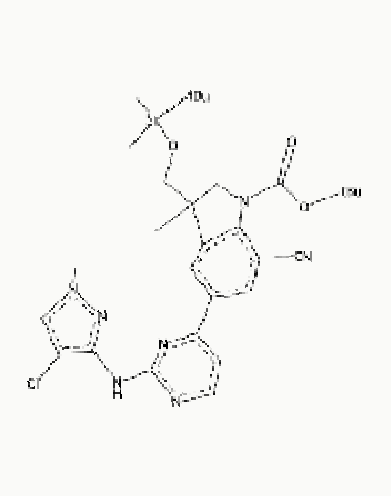 Cn1cc(Cl)c(Nc2nccc(-c3cc(C#N)c4c(c3)C(C)(CO[Si](C)(C)C(C)(C)C)CN4C(=O)OC(C)(C)C)n2)n1